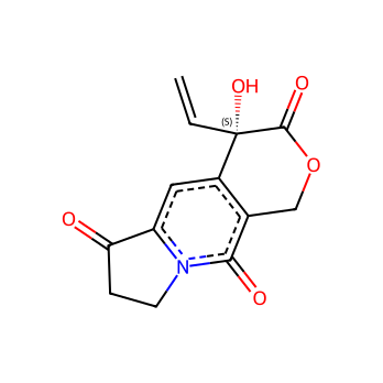 C=C[C@@]1(O)C(=O)OCc2c1cc1n(c2=O)CCC1=O